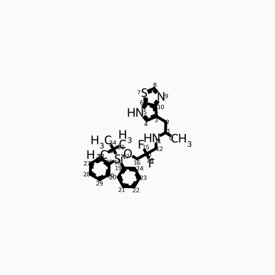 CC(Cc1c[nH]c2scnc12)NCC(F)(F)CO[Si](c1ccccc1)(c1ccccc1)C(C)(C)C